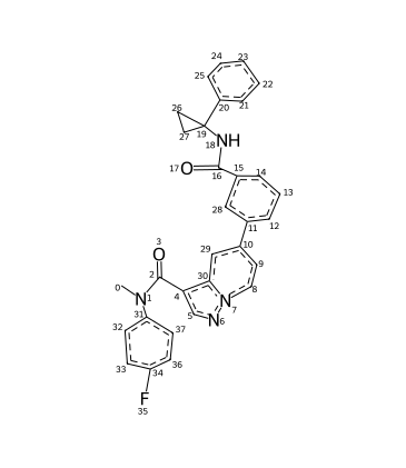 CN(C(=O)c1cnn2ccc(-c3cccc(C(=O)NC4(c5ccccc5)CC4)c3)cc12)c1ccc(F)cc1